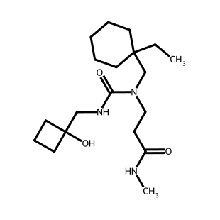 CCC1(CN(CCC(=O)NC)C(=O)NCC2(O)CCC2)CCCCC1